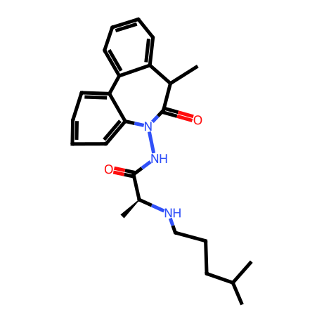 CC(C)CCCN[C@@H](C)C(=O)NN1C(=O)C(C)c2ccccc2-c2ccccc21